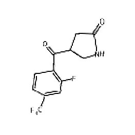 O=C1CC(C(=O)c2ccc(C(F)(F)F)cc2F)CN1